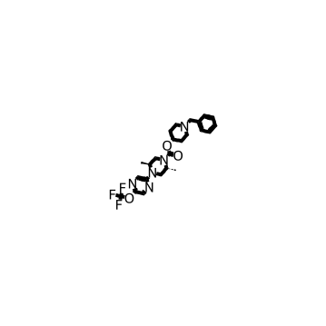 C[C@@H]1CN(c2cnc(OC(F)(F)F)cn2)[C@@H](C)CN1C(=O)OC1CCN(Cc2ccccc2)CC1